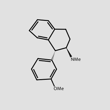 CN[C@@H]1CCc2ccccc2[C@H]1c1cccc(OC)c1